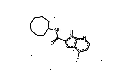 O=C(NC1CCCCCCC1)c1cc2c(F)ccnc2[nH]1